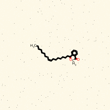 CCCCCCCC/C=C\CCCCCCCC(=O)c1ccccc1C(C)=O